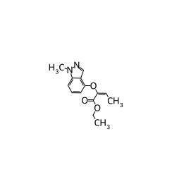 CC=C(Oc1cccc2c1cnn2C)C(=O)OCC